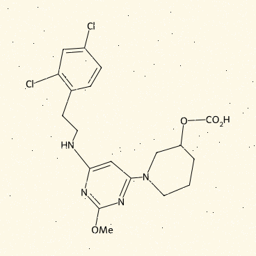 COc1nc(NCCc2ccc(Cl)cc2Cl)cc(N2CCCC(OC(=O)O)C2)n1